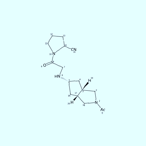 CC(=O)N1C[C@H]2C[C@@H](NCC(=O)N3CCCC3C#N)C[C@H]2C1